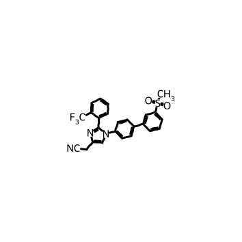 CS(=O)(=O)c1cccc(-c2ccc(-n3cc(CC#N)nc3-c3ccccc3C(F)(F)F)cc2)c1